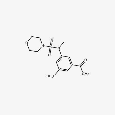 COC(=O)c1cc(C(=O)O)cc(N(C)S(=O)(=O)N2CCOCC2)c1